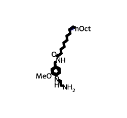 CCCCCCCC/C=C\CCCCCCCC(=O)NCc1ccc(NCCN)c(OC)c1